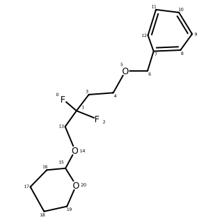 FC(F)(CCOCc1ccccc1)COC1CCCCO1